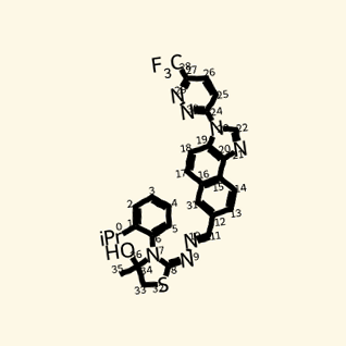 CC(C)c1ccccc1N1C(=NN=Cc2ccc3c(ccc4c3ncn4-c3ccc(C(F)(F)F)nn3)c2)SCC1(C)O